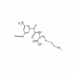 [N-]=[N+]=Nc1cc(N)cc(C(=O)C(=O)N[C@@H](CCCCN)C(=O)O)c1